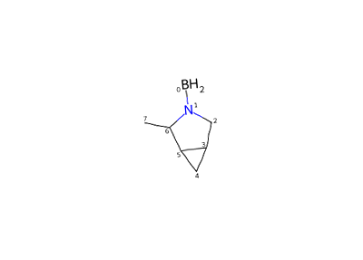 BN1CC2CC2C1C